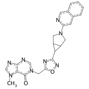 Cn1cnc2ncn(Cc3nc(C4C5CN(c6cc7ccccc7cn6)CC54)no3)c(=O)c21